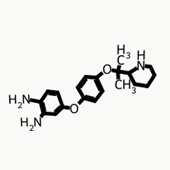 CC(C)(Oc1ccc(Oc2ccc(N)c(N)c2)cc1)C1CCCCN1